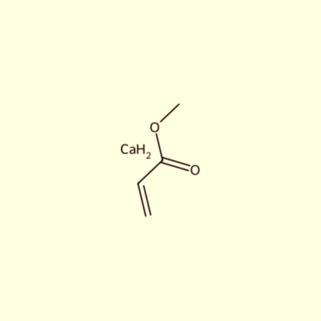 C=CC(=O)OC.[CaH2]